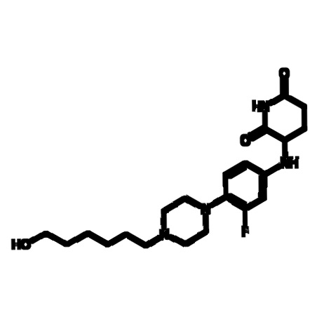 O=C1CCC(Nc2ccc(N3CCN(CCCCCCO)CC3)c(F)c2)C(=O)N1